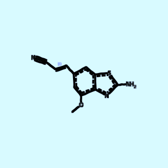 COc1cc(/C=C/C#N)cc2sc(N)nc12